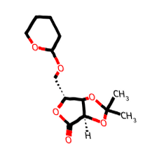 CC1(C)OC2[C@@H](COC3CCCCO3)OC(=O)[C@@H]2O1